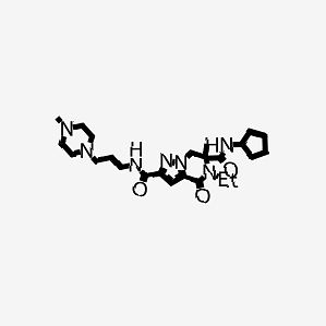 CCN1C(=O)c2cc(C(=O)NCCCN3CCN(C)CC3)nn2CC1(C)C(=O)NC1CCCC1